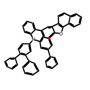 c1ccc(-c2cccc(N(c3ccc(-c4ccccc4)c(-c4ccccc4)c3)c3ccccc3-c3ccc4oc5c6ccccc6ccc5c4c3)c2)cc1